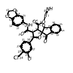 N=BOC(=O)C1C(C(=O)Nc2ccc3c(c2)OCO3)C(c2ccc(Cl)c(Cl)c2)OC12C(=O)c1ccccc1C2=O